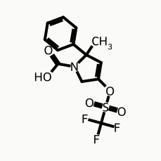 CC1(c2ccccc2)C=C(OS(=O)(=O)C(F)(F)F)CN1C(=O)O